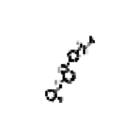 O=C(NC1CC1)c1ccc(-c2cnc3c(NCc4ccccc4F)nccn23)cc1